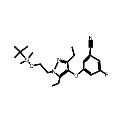 CCc1nn(CCO[Si](C)(C)C(C)(C)C)c(CC)c1Oc1cc(F)cc(C#N)c1